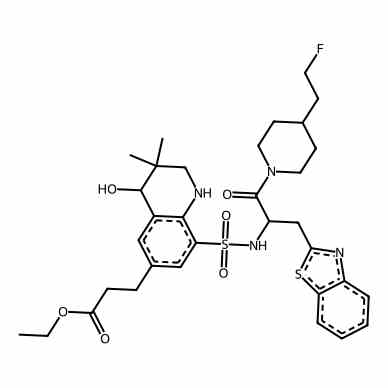 CCOC(=O)CCc1cc2c(c(S(=O)(=O)NC(Cc3nc4ccccc4s3)C(=O)N3CCC(CCF)CC3)c1)NCC(C)(C)C2O